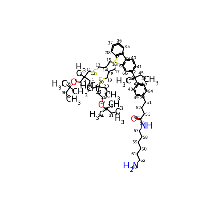 CCC(C)(COC(C)(C)CC)CSCCCS1(CCCSC(C)(CC)CCOC(C)(C)CC)C2=C(C=C=C=C2)c2ccc(C(C)(CC)c3ccc(CCCC(=O)NCCCCCCN)cc3)cc21